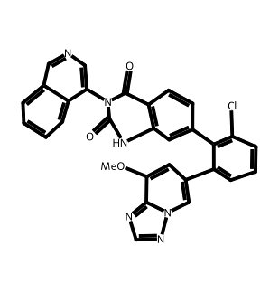 COc1cc(-c2cccc(Cl)c2-c2ccc3c(=O)n(-c4cncc5ccccc45)c(=O)[nH]c3c2)cn2ncnc12